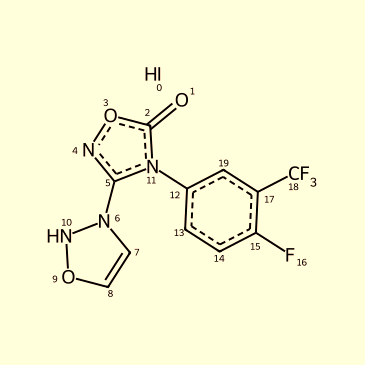 I.O=c1onc(N2C=CON2)n1-c1ccc(F)c(C(F)(F)F)c1